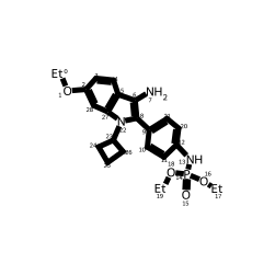 CCOc1ccc2c(N)c(-c3ccc(NP(=O)(OCC)OCC)cc3)n(C3CCC3)c2c1